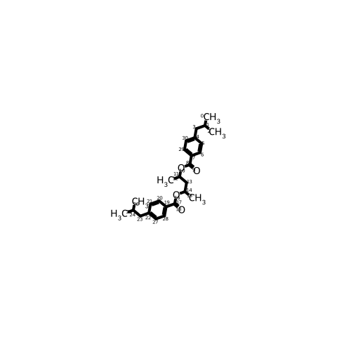 CC(C)Cc1ccc(C(=O)OC(C)CC(C)OC(=O)c2ccc(CC(C)C)cc2)cc1